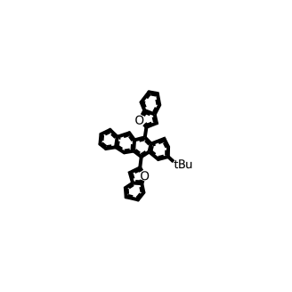 CC(C)(C)c1ccc2c(-c3cc4ccccc4o3)c3cc4ccccc4cc3c(-c3cc4ccccc4o3)c2c1